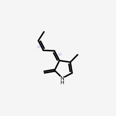 C=c1[nH]cc(C)/c1=C/C=C\C